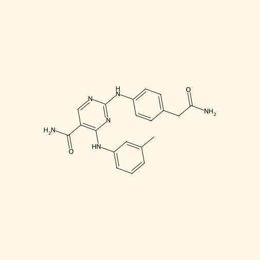 Cc1cccc(Nc2nc(Nc3ccc(CC(N)=O)cc3)ncc2C(N)=O)c1